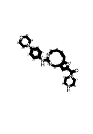 O=C(c1cc2c(s1)/C=C\C/C=N\C(Nc1ccc(N3CCOCC3)cc1)=N/C2)N1CCNCC1